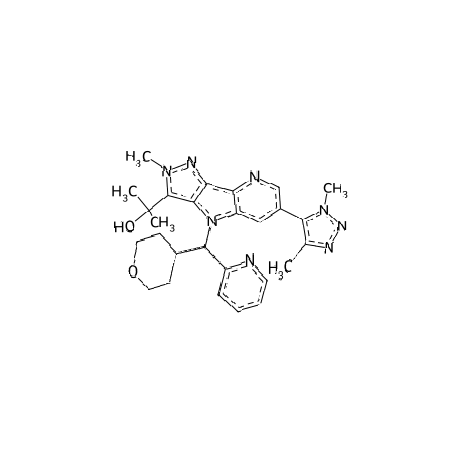 Cc1nnn(C)c1-c1cnc2c3nn(C)c(C(C)(C)O)c3n(C(c3ccccn3)C3CCOCC3)c2c1